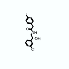 O=C(Cc1ccc(I)cc1)NC[C@H](O)c1cccc(Cl)c1